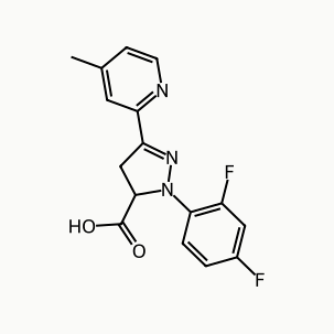 Cc1ccnc(C2=NN(c3ccc(F)cc3F)C(C(=O)O)C2)c1